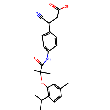 Cc1ccc(C(C)C)c(OC(C)(C)C(=O)Nc2ccc(C(C#N)CC(=O)O)cc2)c1